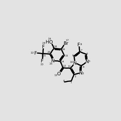 CCc1nc2ncc(F)cn2c1C(=O)c1cc(Br)c(O)c(C(F)(F)F)n1